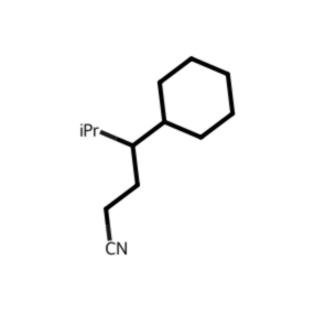 CC(C)C(CCC#N)C1CCCCC1